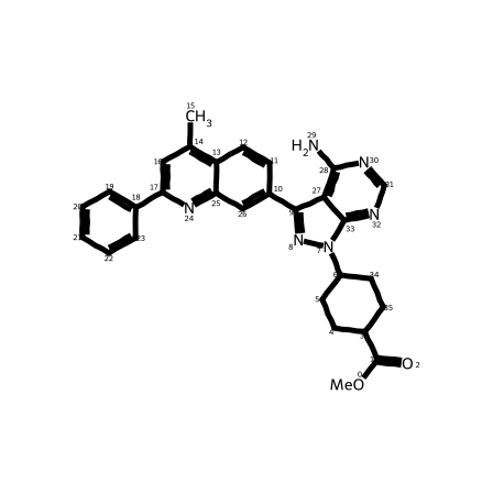 COC(=O)C1CCC(n2nc(-c3ccc4c(C)cc(-c5ccccc5)nc4c3)c3c(N)ncnc32)CC1